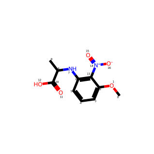 COc1cccc(NC(C)C(=O)O)c1[N+](=O)[O-]